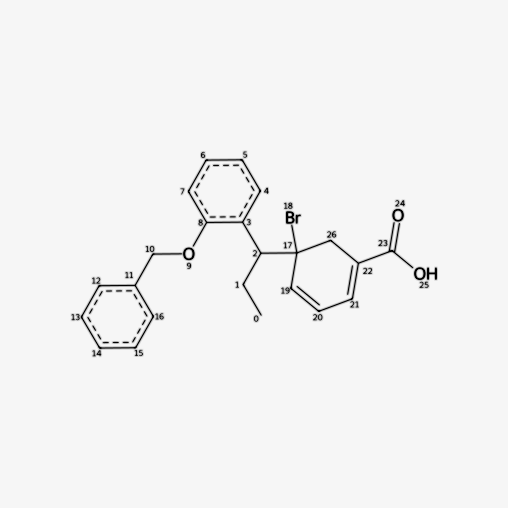 CCC(c1ccccc1OCc1ccccc1)C1(Br)C=CC=C(C(=O)O)C1